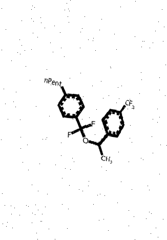 CCCCCc1ccc(C(F)(F)OC(C)c2ccc(C(F)(F)F)cc2)cc1